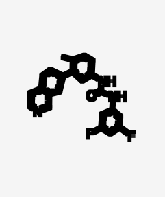 Cc1ccc(NC(=O)Nc2cc(F)cc(F)c2)cc1-c1ccc2ccncc2c1